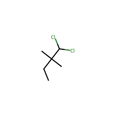 CCC(C)(C)C(Cl)Cl